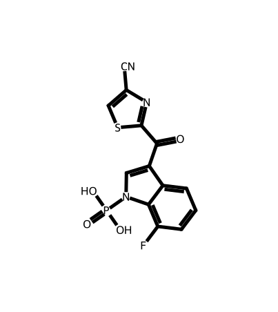 N#Cc1csc(C(=O)c2cn(P(=O)(O)O)c3c(F)cccc23)n1